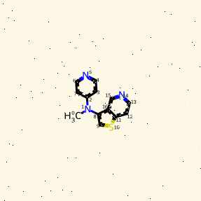 CN(c1ccncc1)c1csc2ccncc12